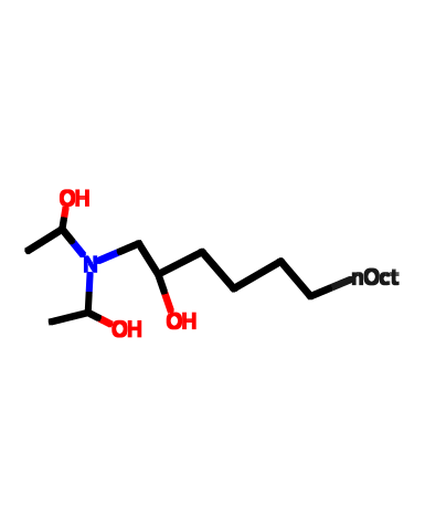 CCCCCCCCCCCCC(O)CN(C(C)O)C(C)O